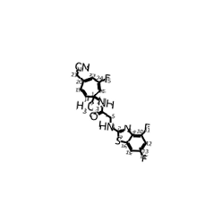 CC1(NC(=O)CNc2nc3c(F)cc(F)cc3s2)C=CC(CC#N)=CC(F)=C1